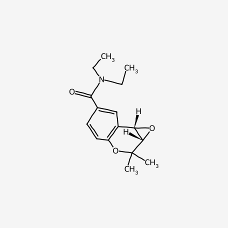 CCN(CC)C(=O)c1ccc2c(c1)[C@@H]1O[C@@H]1C(C)(C)O2